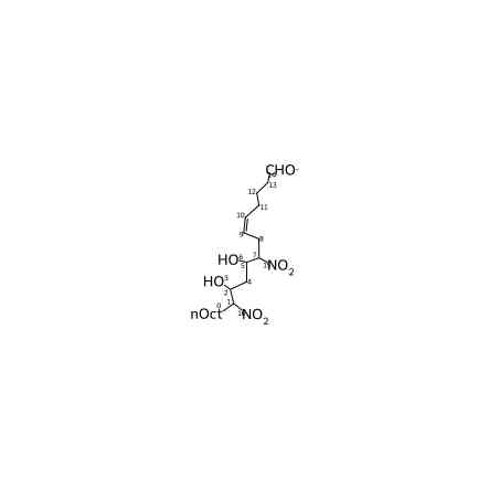 CCCCCCCCC(C(O)CC(O)C(C/C=C\CCC[C]=O)[N+](=O)[O-])[N+](=O)[O-]